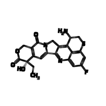 CC[C@@]1(O)C(=O)OCc2c1cc1n(c2=O)Cc2c-1nc1cc(F)cc3c1c2C(N)CS3